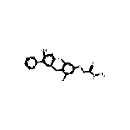 CNC(=O)COc1cc(Cl)c(Cc2ccc(O)c(-c3ccccc3)c2)c(Cl)c1